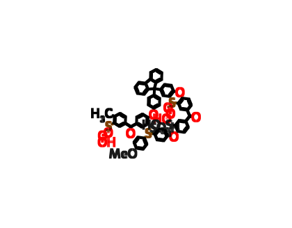 COc1ccc(Sc2ccc(Oc3ccc(C(=O)c4ccc(Oc5ccc(C6(c7ccc(Oc8ccc(C(=O)c9ccc(C)c(SOOO)c9)cc8S(=O)(=O)O)cc7)c7ccccc7-c7ccccc76)cc5)c(SOOO)c4)cc3S(=O)(=O)O)cc2)cc1